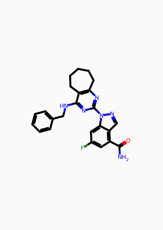 NC(=O)c1cc(F)cc2c1cnn2-c1nc2c(c(NCc3ccccc3)n1)CCCCC2